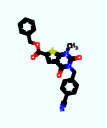 Cn1c(=O)n(Cc2ccc(C#N)cc2)c(=O)c2cc(C(=O)OCc3ccccc3)sc21